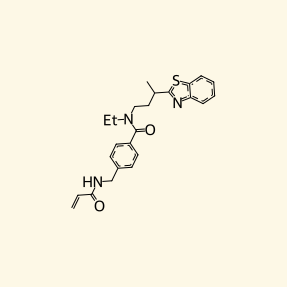 C=CC(=O)NCc1ccc(C(=O)N(CC)CCC(C)c2nc3ccccc3s2)cc1